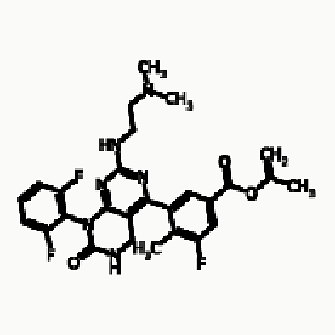 C=C(C)OC(=O)c1cc(F)c(C)c(-c2nc(NCCN(C)C)nc3c2CNC(=O)N3c2c(F)cccc2F)c1